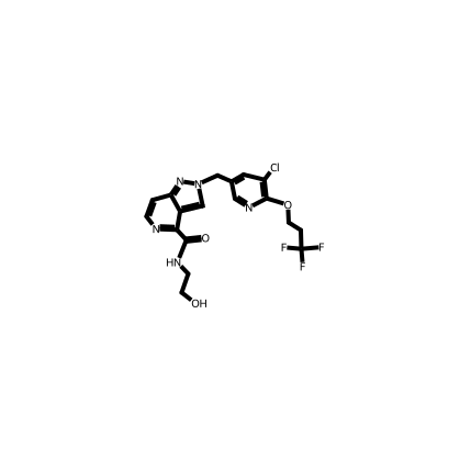 O=C(NCCO)c1nccc2nn(Cc3cnc(OCCC(F)(F)F)c(Cl)c3)cc12